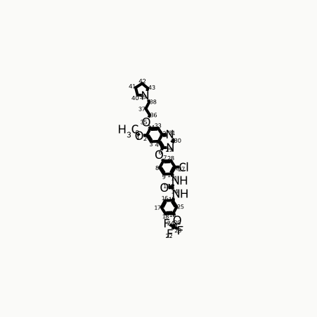 COc1cc2c(Oc3ccc(NC(=O)Nc4cccc(OC(F)(F)F)c4)c(Cl)c3)ncnc2cc1OCCCN1CCCC1